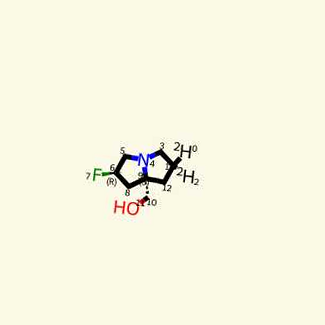 [2H]C1([2H])CN2C[C@H](F)C[C@]2(CO)C1